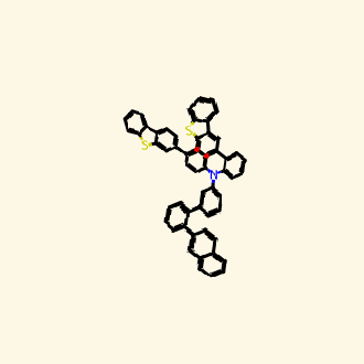 c1cc(-c2ccccc2-c2ccc3ccccc3c2)cc(N(c2ccc(-c3ccc4c(c3)sc3ccccc34)cc2)c2ccccc2-c2ccc3sc4ccccc4c3c2)c1